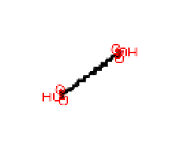 O=C(O)C(=O)CCCCCCCCCCCCCCCCCCC(=O)C(=O)O